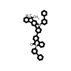 CC1(C)c2ccccc2-c2cc3c4cc(-c5ccc6c(=O)n(-c7cccc(-c8ccccc8)c7)c7ccccc7c6c5)ccc4n(-c4cccc(-c5ccccc5)c4)c3cc21